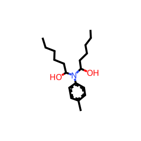 CCCCCC(O)N(c1ccc(C)cc1)C(O)CCCCC